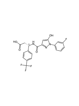 O=C(O)C[C@H](NC(=O)c1cc(O)n(-c2cccc(F)c2)n1)c1ccc(C(F)(F)F)cc1